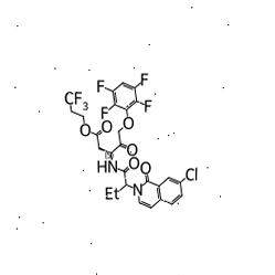 CCC(C(=O)N[C@@H](CC(=O)OCCC(F)(F)F)C(=O)COc1c(F)c(F)cc(F)c1F)n1ccc2ccc(Cl)cc2c1=O